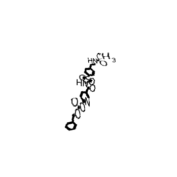 CC(=O)NCCc1ccc(S(=O)(=O)NC(=O)c2ccc(OC(=O)OCc3ccccc3)nc2)cc1